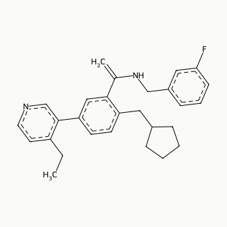 C=C(NCc1cccc(F)c1)c1cc(-c2cnccc2CC)ccc1CC1CCCC1